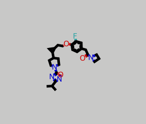 CC(C)c1noc(N2CCC(C3CC3CCOc3ccc(CC(=O)N4CCC4)cc3F)CC2)n1